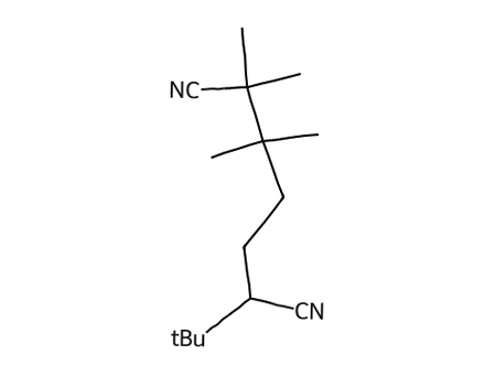 CC(C)(C)C(C#N)CCC(C)(C)C(C)(C)C#N